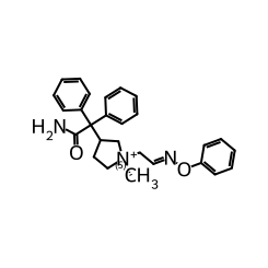 C[N@+]1(CC=NOc2ccccc2)CCC(C(C(N)=O)(c2ccccc2)c2ccccc2)C1